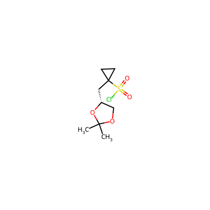 CC1(C)OC[C@@H](CC2(S(=O)(=O)Cl)CC2)O1